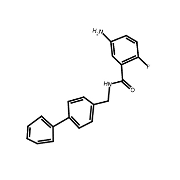 Nc1ccc(F)c(C(=O)NCc2ccc(-c3ccccc3)cc2)c1